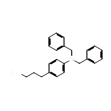 CCCCc1ccc(N(Cc2ccccc2)Cc2ccccc2)cc1